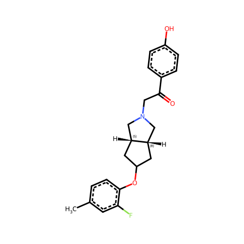 Cc1ccc(OC2C[C@@H]3CN(CC(=O)c4ccc(O)cc4)C[C@@H]3C2)c(F)c1